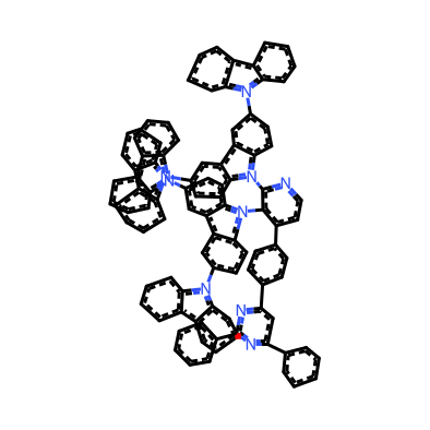 c1ccc(-c2cc(-c3ccc(-c4ccnc(-n5c6ccc(-n7c8ccccc8c8ccccc87)cc6c6cc(-n7c8ccccc8c8ccccc87)ccc65)c4-n4c5ccc(-n6c7ccccc7c7ccccc76)cc5c5cc(-n6c7ccccc7c7ccccc76)ccc54)cc3)nc(-c3ccccc3)n2)cc1